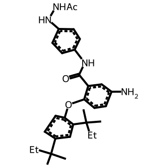 CCC(C)(C)c1ccc(Oc2ccc(N)cc2C(=O)Nc2ccc(NNC(C)=O)cc2)c(C(C)(C)CC)c1